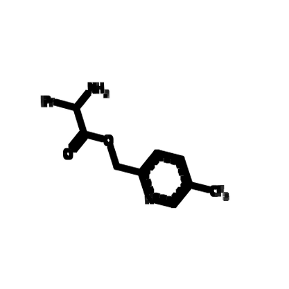 CC(C)C(N)C(=O)OCc1ccc(C(F)(F)F)cn1